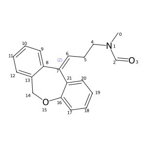 CN(C=O)CC/C=C1/c2ccccc2COc2ccccc21